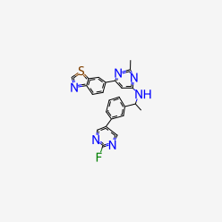 Cc1nc(NC(C)c2cccc(-c3cnc(F)nc3)c2)cc(-c2ccc3ncsc3c2)n1